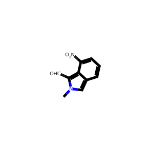 Cn1cc2cccc([N+](=O)[O-])c2c1C=O